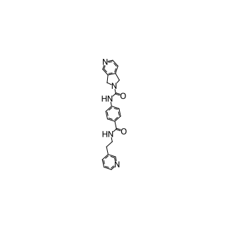 O=C(NCCc1cccnc1)c1ccc(NC(=O)N2Cc3ccncc3C2)cc1